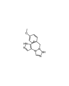 COc1ccc(CN2NN=CN2c2cn[nH]c2I)cc1